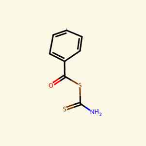 NC(=S)SC(=O)c1cc[c]cc1